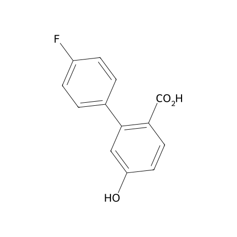 O=C(O)c1ccc(O)cc1-c1ccc(F)cc1